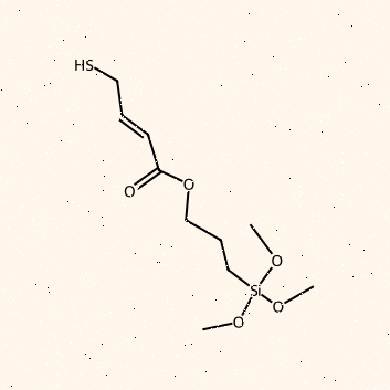 CO[Si](CCCOC(=O)C=CCS)(OC)OC